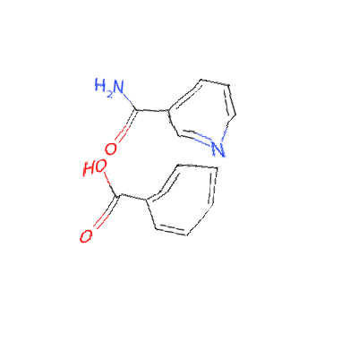 NC(=O)c1cccnc1.O=C(O)c1ccccc1